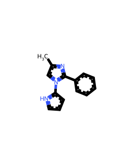 Cc1cn(-c2ccc[nH]2)c(-c2ccccc2)n1